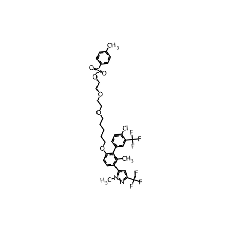 Cc1ccc(S(=O)(=O)OCCOCCOCCCCCOc2ccc(-c3cc(C(F)(F)F)nn3C)c(C)c2-c2ccc(Cl)c(C(F)(F)F)c2)cc1